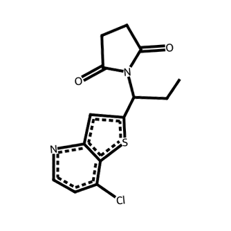 CCC(c1cc2nccc(Cl)c2s1)N1C(=O)CCC1=O